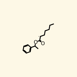 CCCCC[CH]C(=O)OC(C)c1ccccc1